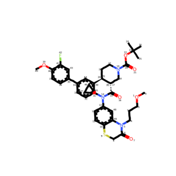 COCCCN1C(=O)CSc2ccc(N(C(=O)[C@H]3CN(C(=O)OC(C)(C)C)CC[C@@H]3c3cccc(-c4ccc(OC)c(F)c4)c3)C3CC3)cc21